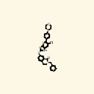 O=C1c2cc(Oc3nc4nc(-c5ccc(N6CCOCC6)cc5)c(Cl)cc4[nH]3)ccc2CCN1Cc1ccccc1